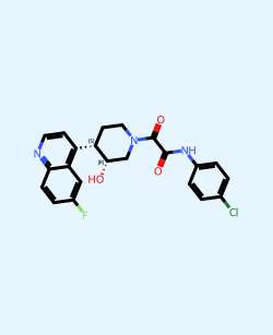 O=C(Nc1ccc(Cl)cc1)C(=O)N1CC[C@@H](c2ccnc3ccc(F)cc23)[C@@H](O)C1